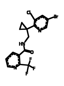 O=C(NCC1(c2ncc(Br)cc2Cl)CC1)c1cccnc1C(F)(F)F